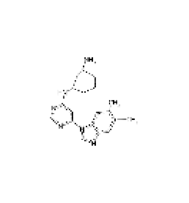 Cc1cc2ncn(-c3cc(NC4CCCC(N)C4)ncn3)c2cc1C